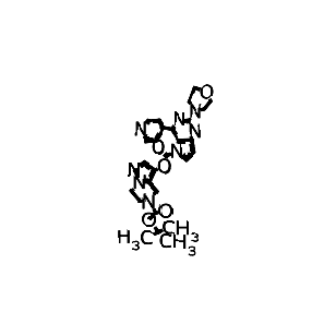 CC(C)(C)OC(=O)N1CCn2ncc(OC(=O)n3ccc4nc(N5CCOCC5)nc(-c5ccncc5)c43)c2C1